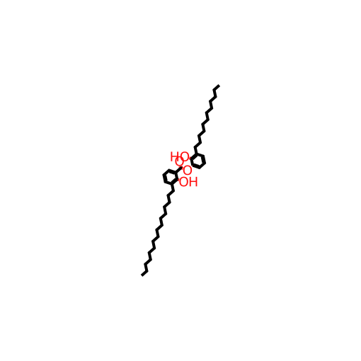 CCCCCCCCCCCCCCCCc1cccc(C(=O)Oc2cccc(CCCCCCCCCCCC)c2O)c1O